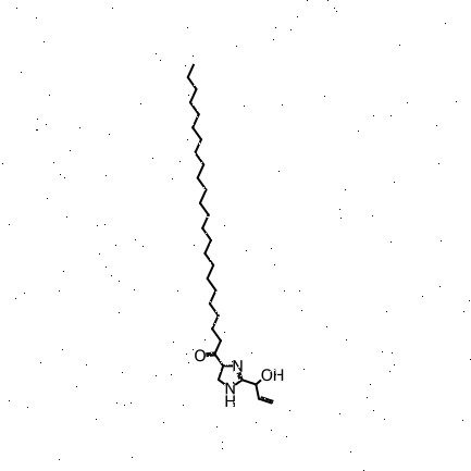 C=CC(O)C1=NC(C(=O)CCCCCCCCCCCCCCCCCCCCCCC)CN1